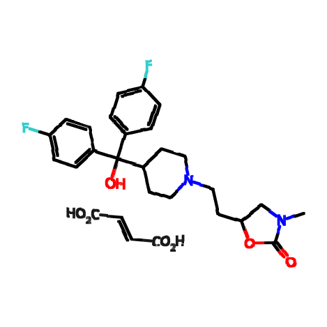 CN1CC(CCN2CCC(C(O)(c3ccc(F)cc3)c3ccc(F)cc3)CC2)OC1=O.O=C(O)C=CC(=O)O